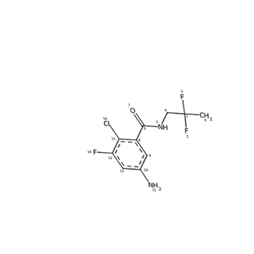 CC(F)(F)CNC(=O)c1cc(N)cc(F)c1Cl